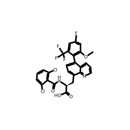 COc1cc(F)cc(C(F)(F)F)c1-c1ccc(C[C@H](NC(=O)c2c(Cl)cccc2Cl)C(=O)O)c2ncccc12